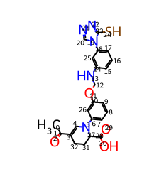 CC(=O)C1=CN(c2cccc(OCNc3cccc(-n4cnnc4S)c3)c2)C(C(=O)O)CC1